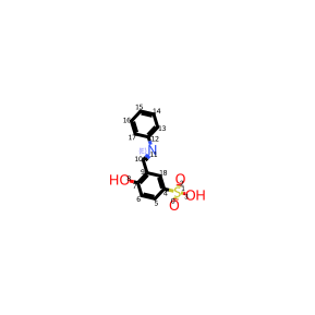 O=S(=O)(O)c1ccc(O)c(/C=N/c2ccccc2)c1